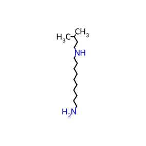 CC(C)CCNCCCCCCCCCCN